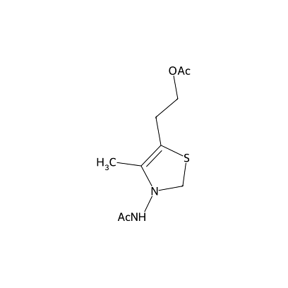 CC(=O)NN1CSC(CCOC(C)=O)=C1C